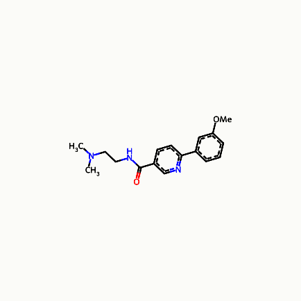 COc1cccc(-c2ccc(C(=O)NCCN(C)C)cn2)c1